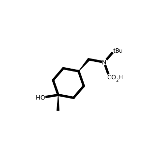 CC(C)(C)N(C[C@H]1CC[C@](C)(O)CC1)C(=O)O